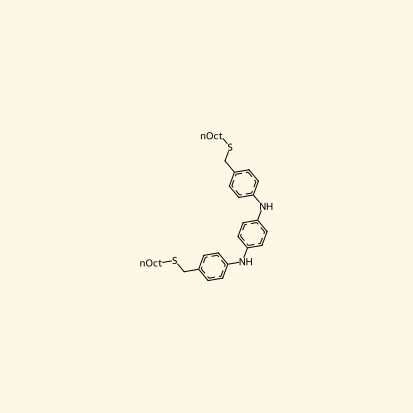 CCCCCCCCSCc1ccc(Nc2ccc(Nc3ccc(CSCCCCCCCC)cc3)cc2)cc1